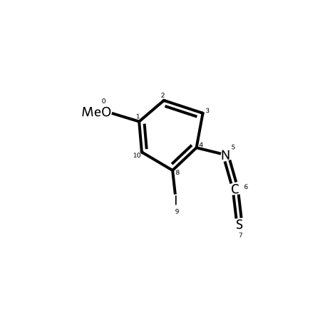 COc1ccc(N=C=S)c(I)c1